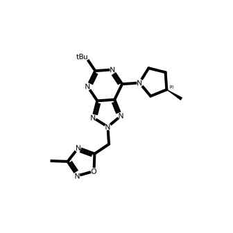 Cc1noc(Cn2nc3nc(C(C)(C)C)nc(N4CC[C@@H](C)C4)c3n2)n1